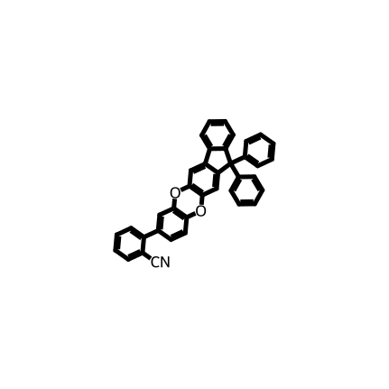 N#Cc1ccccc1-c1ccc2c(c1)Oc1cc3c(cc1O2)C(c1ccccc1)(c1ccccc1)c1ccccc1-3